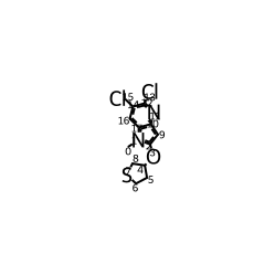 Cn1c(OC2CCSC2)cc2nc(Cl)c(Cl)cc21